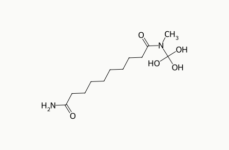 CN(C(=O)CCCCCCCCC(N)=O)C(O)(O)O